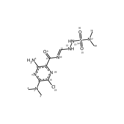 CN(C)c1nc(N)c(C(=O)N=CNNS(=O)(=O)N(C)C)nc1Cl